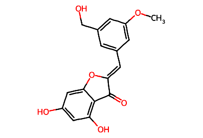 COc1cc(/C=C2\Oc3cc(O)cc(O)c3C2=O)cc(CO)c1